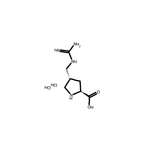 Cl.Cl.N=C(N)NC[C@H]1CN[C@H](C(=O)O)C1